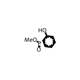 COP=O.Oc1ccccc1